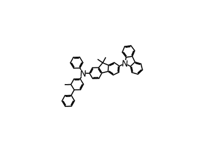 CC1C=C(N(c2ccccc2)c2ccc3c(c2)C(C)(C)c2cc(-n4c5ccccc5c5ccccc54)ccc2-3)C=CC1c1ccccc1